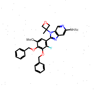 COc1cc(-c2nc3cc(NC(C)=O)ncc3n2C2(C)COC2)c(F)c(OCc2ccccc2)c1OCc1ccccc1